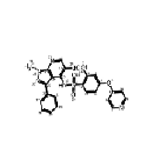 Cc1cc(Oc2ccncc2)ccc1S(=O)(=O)Nc1c(C(=O)O)cnc2c1c(-c1ccccc1)nn2C